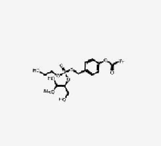 COC(O)C(CO)OP(=O)(OCCO)SCc1ccc(OC(=O)C(C)C)cc1